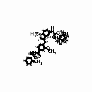 [2H]C1([2H])C(OC(=O)Nc2ccc3c(c2)c(Cc2ccc(C(=O)NS(=O)(=O)c4ccccc4C)cc2OC)cn3C)C([2H])([2H])C([2H])([2H])C1([2H])[2H]